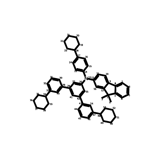 CC1(C)c2ccccc2-c2ccc(N(c3ccc(C4CCCCC4)cc3)c3cc(-c4cccc(C5CCCCC5)c4)cc(-c4cccc(C5CCCCC5)c4)c3)cc21